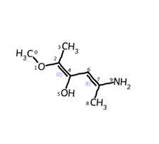 CO/C(C)=C(O)/C=C(\C)N